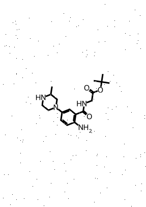 CC1CN(c2ccc(N)c(C(=O)NCC(=O)OC(C)(C)C)c2)CCN1